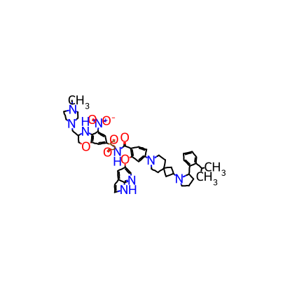 CC(C)c1ccccc1C1CCCN1C1CC2(CCN(c3ccc(C(=O)NS(=O)(=O)c4cc5c(c([N+](=O)[O-])c4)NC(CN4CCN(C)CC4)CO5)c(Oc4cnc5[nH]ccc5c4)c3)CC2)C1